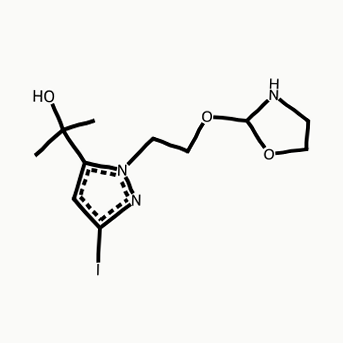 CC(C)(O)c1cc(I)nn1CCOC1NCCO1